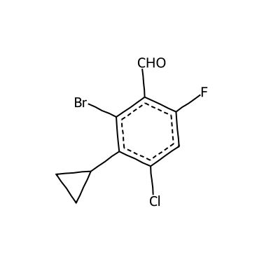 O=Cc1c(F)cc(Cl)c(C2CC2)c1Br